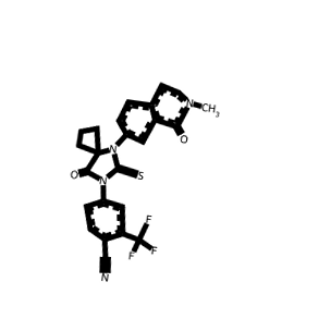 Cn1ccc2ccc(N3C(=S)N(c4ccc(C#N)c(C(F)(F)F)c4)C(=O)C34CCC4)cc2c1=O